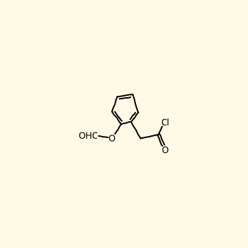 O=COc1ccccc1CC(=O)Cl